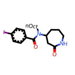 CCCCCCCCN(C(=O)c1ccc(I)cc1)C1CCCNC(=O)C1